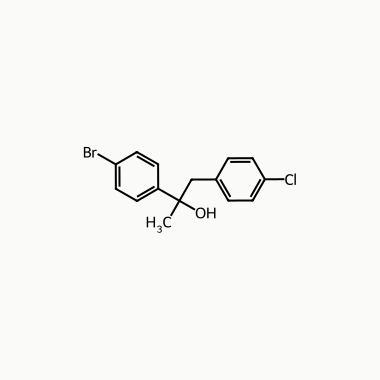 CC(O)(Cc1ccc(Cl)cc1)c1ccc(Br)cc1